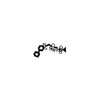 O=S(=O)(NCc1nnc(Cc2nc3ccc(-c4ccccc4)cc3s2)o1)C1CC1